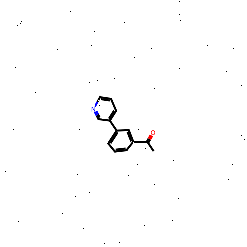 CC(=O)c1cccc(-c2cc[c]nc2)c1